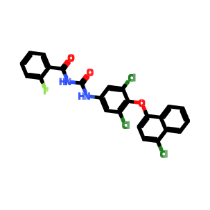 O=C(NC(=O)c1ccccc1F)Nc1cc(Cl)c(Oc2ccc(Cl)c3ccccc23)c(Cl)c1